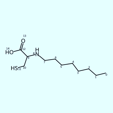 CCCCCCCCNC(CS)C(=O)O